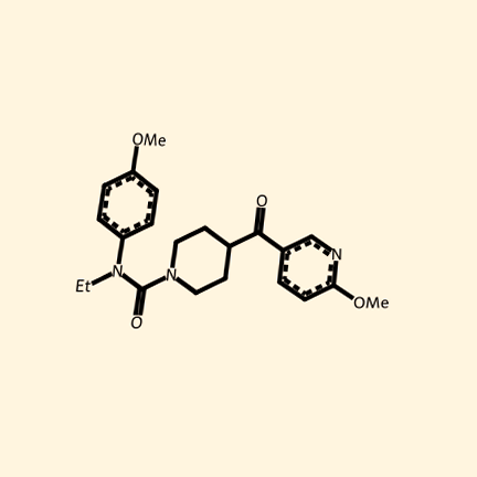 CCN(C(=O)N1CCC(C(=O)c2ccc(OC)nc2)CC1)c1ccc(OC)cc1